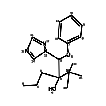 CCCC(O)(C(Oc1ccccc1)n1cncn1)C(C)(C)C